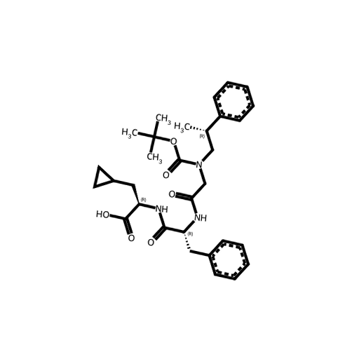 C[C@@H](CN(CC(=O)N[C@H](Cc1ccccc1)C(=O)N[C@H](CC1CC1)C(=O)O)C(=O)OC(C)(C)C)c1ccccc1